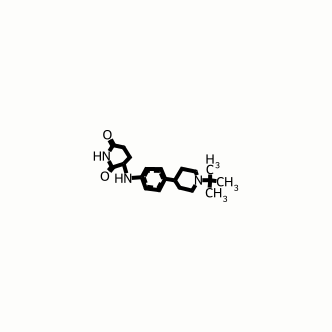 CC(C)(C)N1CCC(c2ccc(NC3CCC(=O)NC3=O)cc2)CC1